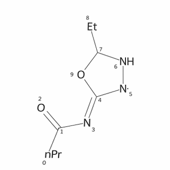 CCCC(=O)N=C1[N]NC(CC)O1